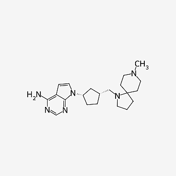 CN1CCC2(CCCN2C[C@@H]2CC[C@H](n3ccc4c(N)ncnc43)C2)CC1